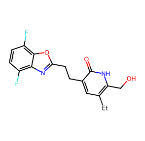 CCc1cc(CCc2nc3c(F)ccc(F)c3o2)c(=O)[nH]c1CO